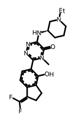 CCN1CCC[C@@H](Nc2nnc(-c3ccc4c(c3O)CCC4=C(F)F)n(C)c2=O)C1